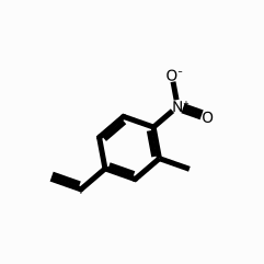 C=[C]c1ccc([N+](=O)[O-])c(C)c1